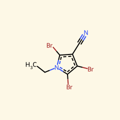 CCn1c(Br)c(Br)c(C#N)c1Br